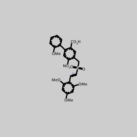 COc1cc(OC)c(/C=C/S(=O)(=O)Cc2cc(C(=O)O)c(-c3ccccc3OC)cc2[N+](=O)[O-])c(OC)c1